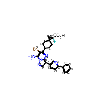 NC1=C(Br)C(C2CCC3(CC2)CC3(F)C(=O)O)=NC2C(c3ccc(-c4ccccc4)nc3)C=NN12